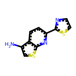 Nc1csc2nc(-c3nccs3)ccc12